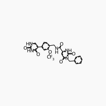 O=C(NCc1ccc(-c2c[nH]c(=O)[nH]c2=O)cc1OC(F)(F)F)c1cc(=O)n(Cc2ccccc2)c(=O)[nH]1